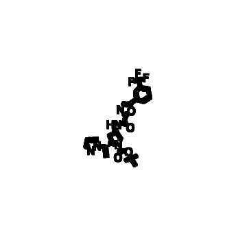 C=C([C@@H]1C[C@@H](NC(=O)c2ncc(-c3cccc(C(F)(F)F)c3)o2)CN1C(=O)OC(C)(C)C)n1cccn1